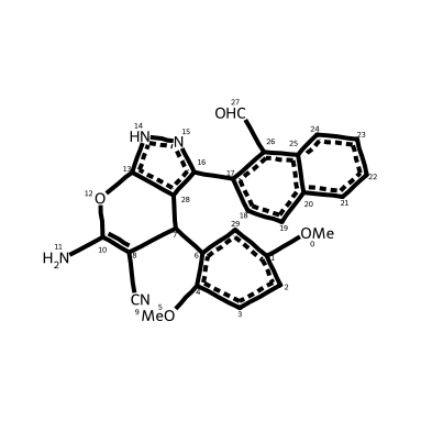 COc1ccc(OC)c(C2C(C#N)=C(N)Oc3[nH]nc(-c4ccc5ccccc5c4C=O)c32)c1